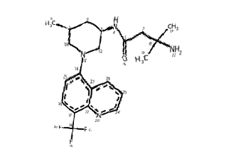 C[C@H]1C[C@@H](NC(=O)CC(C)(C)N)CN(c2ccc(C(F)(F)F)c3ncccc23)C1